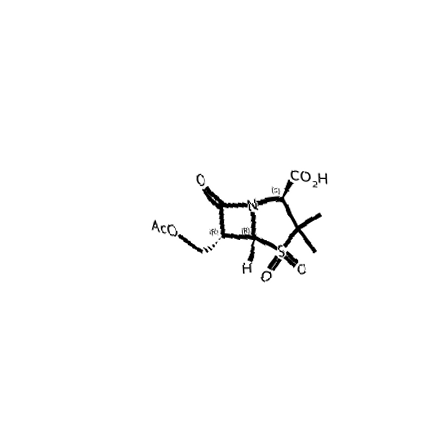 CC(=O)OC[C@@H]1C(=O)N2[C@@H](C(=O)O)C(C)(C)S(=O)(=O)[C@H]12